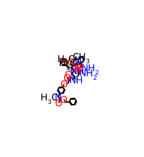 CN(C(=O)OCc1ccccc1)c1ccc(OCC(=O)N[C@@H](CC(N)=O)C(=O)N[C@@H](Cc2ccccc2)[C@H](O)C(=O)[N+]2(C(C)(C)C)CCC[C@H]2C(N)=O)cc1